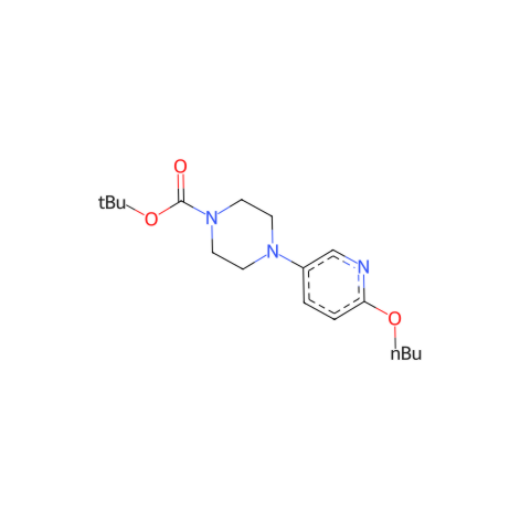 CCCCOc1ccc(N2CCN(C(=O)OC(C)(C)C)CC2)cn1